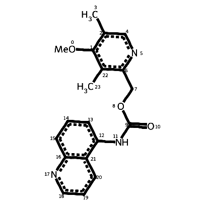 COc1c(C)cnc(COC(=O)Nc2cccc3ncccc23)c1C